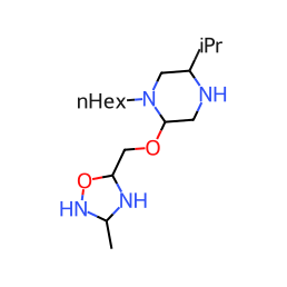 CCCCCCN1CC(C(C)C)NCC1OCC1NC(C)NO1